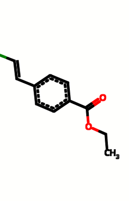 CCOC(=O)c1ccc(C=CF)cc1